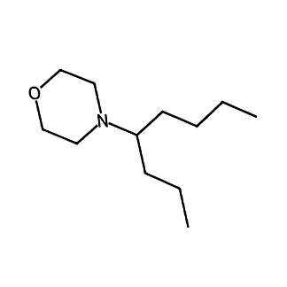 CCCCC(CCC)N1CCOCC1